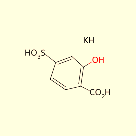 O=C(O)c1ccc(S(=O)(=O)O)cc1O.[KH]